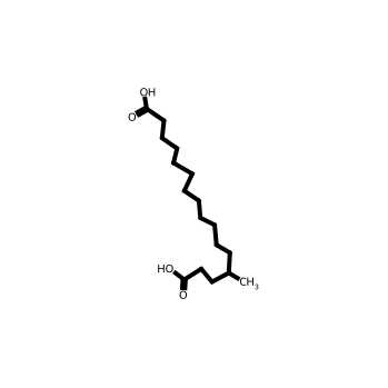 CC(CCCCCCCCCCCC(=O)O)CCC(=O)O